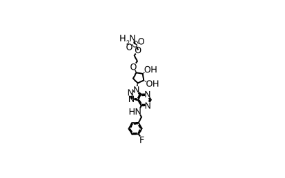 NS(=O)(=O)OCCO[C@@H]1C[C@H](n2nnc3c(NCc4cccc(F)c4)ncnc32)[C@@H](O)[C@H]1O